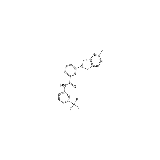 Cc1ncc2c(n1)CN(c1cccc(C(=O)Nc3cccc(C(F)(F)F)c3)c1)C2